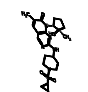 Cc1cc2cnc(NC3CCN(S(=O)(=O)C4CC4)CC3)nc2n([C@@H]2CCC[C@@]2(C)O)c1=O